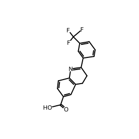 O=C(O)c1ccc2c(c1)CCC(c1cccc(C(F)(F)F)c1)=N2